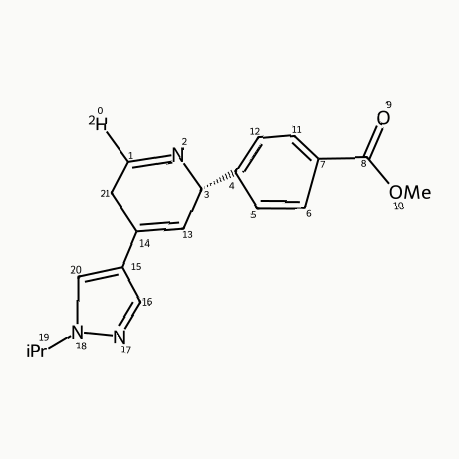 [2H]C1=N[C@H](c2ccc(C(=O)OC)cc2)C=C(c2cnn(C(C)C)c2)C1